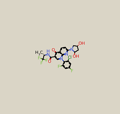 C[C@H](NC(=O)c1cn(-c2c(F)cc(F)cc2Cl)c2nc(N3C[C@@H](O)CC3O)ccc2c1=O)C(F)(F)F